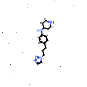 c1cn(CCCc2ccc(NC3CCNCC3)cc2)nn1